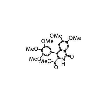 COC(=O)c1[nH]c(=O)c2cc(OC)c(OC)cc2c1-c1cc(OC)c(OC)c(OC)c1